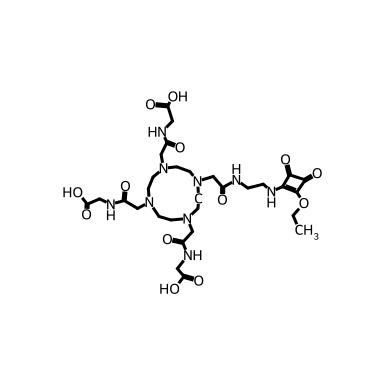 CCOc1c(NCCNC(=O)CN2CCN(CC(=O)NCC(=O)O)CCN(CC(=O)NCC(=O)O)CCN(CC(=O)NCC(=O)O)CC2)c(=O)c1=O